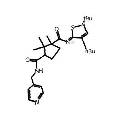 CCCCc1cn(C(C)(C)C)s/c1=N\C(=O)C1(C)CCC(C(=O)NCc2ccncc2)C1(C)C